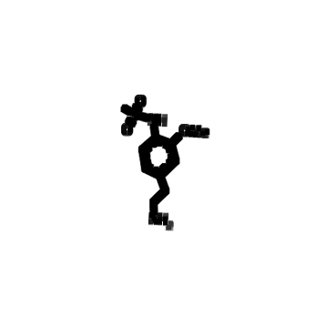 COc1cc(CCN)ccc1NS(C)(=O)=O